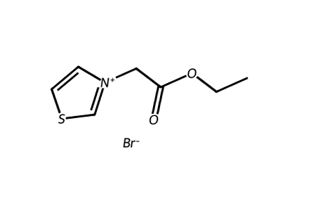 CCOC(=O)C[n+]1ccsc1.[Br-]